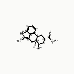 CCCN1C[C@@H](C(=O)OC)CC2c3cccc4[nH]c(C=O)c(c34)C[C@H]21